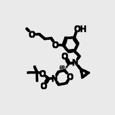 COCCCOc1cc(O)cc(CN(C(=O)[C@H]2CN(C(=O)OC(C)(C)C)CCO2)C2CC2)c1